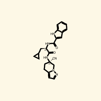 N#C[C@@]1(NC(=O)[C@@H](CC2CC2)NC(=O)c2cc3ccccc3[nH]2)CCc2ccnn2C1